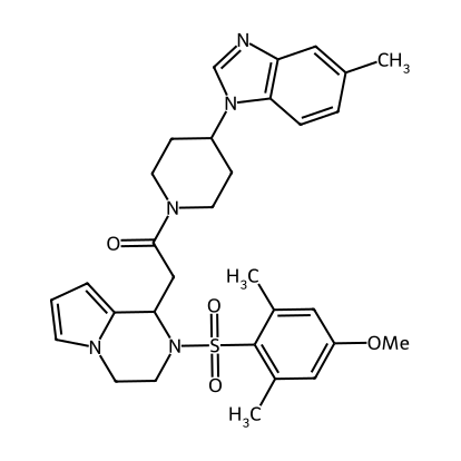 COc1cc(C)c(S(=O)(=O)N2CCn3cccc3C2CC(=O)N2CCC(n3cnc4cc(C)ccc43)CC2)c(C)c1